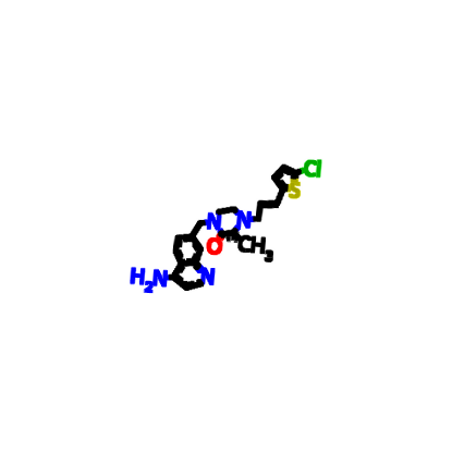 C[C@H]1C(=O)N(Cc2ccc3c(N)ccnc3c2)CCN1CC=Cc1ccc(Cl)s1